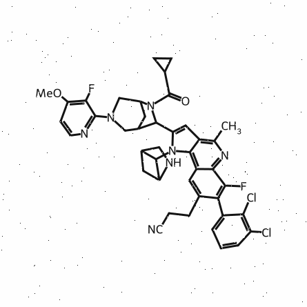 COc1ccnc(N2CC3CC(C2)N(C(=O)C2CC2)C3c2cc3c(C)nc4c(F)c(-c5cccc(Cl)c5Cl)c(CCC#N)cc4c3n2C2C3CNC2C3)c1F